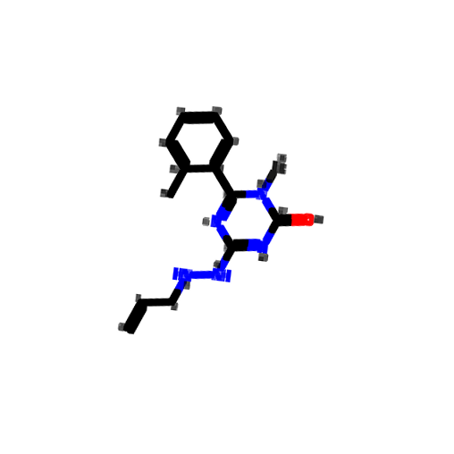 C=CCNNc1nc(-c2ccccc2C)n(CC)c(=O)n1